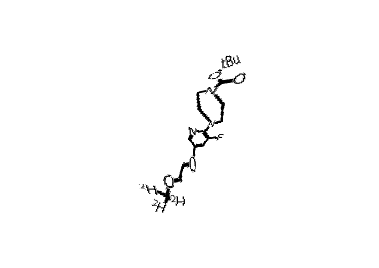 [2H]C([2H])([2H])OCCOc1cnc(N2CCN(C(=O)OC(C)(C)C)CC2)c(F)c1